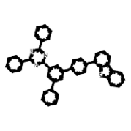 c1ccc(-c2cc(-c3ccc(-c4cccc5c4sc4ccccc45)cc3)cc(-c3nc(-c4ccccc4)nc(-c4ccccc4)n3)c2)cc1